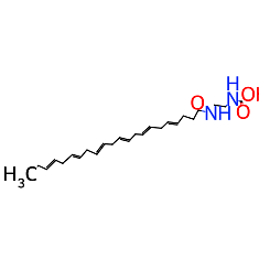 CCC=CCC=CCC=CCC=CCC=CCC=CCCC(=O)NCCNC(=O)O